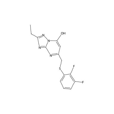 CCc1nc2nc(CSc3cccc(F)c3F)cc(O)n2n1